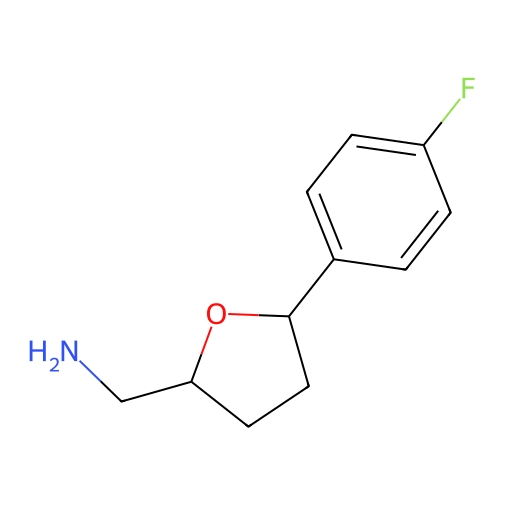 NCC1CCC(c2ccc(F)cc2)O1